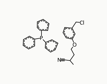 CC(C#N)CCOc1cccc(CCl)c1.c1ccc(P(c2ccccc2)c2ccccc2)cc1